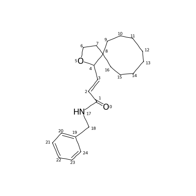 O=C(/C=C/C1OCCC12CCCCCCCC2)NCc1ccccc1